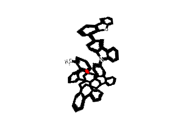 Cc1ccccc1-c1ccccc1C12CCCC34CC(CC5(CC(C1)c1ccccc1-c1ccccc15)C23)c1ccccc1-c1cc(-n2c3ccccc3c3cc(-c5cccc6c5oc5ccccc56)ccc32)ccc14